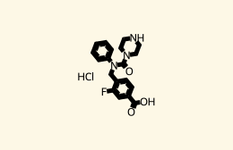 Cl.O=C(O)c1ccc(CN(C(=O)N2CCNCC2)c2ccccc2)c(F)c1